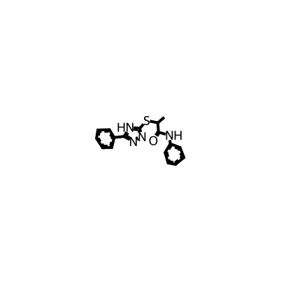 CC(Sc1nnc(-c2ccccc2)[nH]1)C(=O)Nc1ccccc1